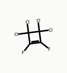 FC1=C(F)C(Cl)(Cl)C1(Cl)Cl